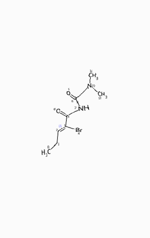 CC/C=C(\Br)C(=O)NC(=O)N(C)C